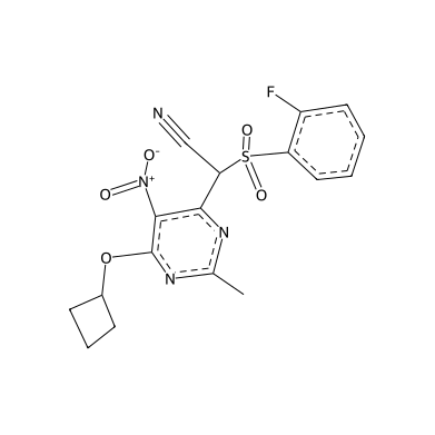 Cc1nc(OC2CCC2)c([N+](=O)[O-])c(C(C#N)S(=O)(=O)c2ccccc2F)n1